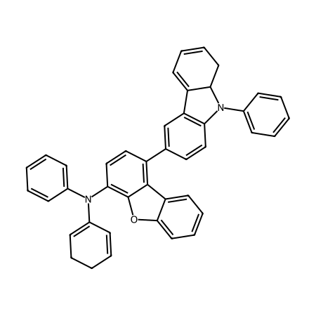 C1=CCC2C(=C1)c1cc(-c3ccc(N(C4=CCCC=C4)c4ccccc4)c4oc5ccccc5c34)ccc1N2c1ccccc1